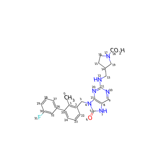 Cc1c(Cn2c(=O)[nH]c3cnc(NCC4CCN(C(=O)O)C4)nc32)cccc1-c1cccc(F)c1